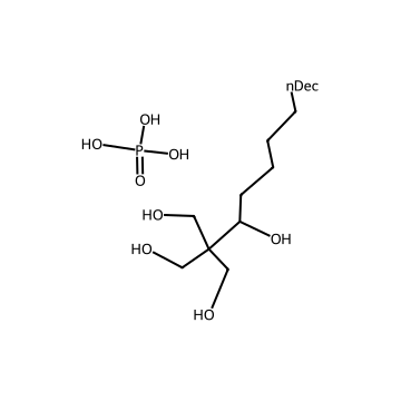 CCCCCCCCCCCCCCC(O)C(CO)(CO)CO.O=P(O)(O)O